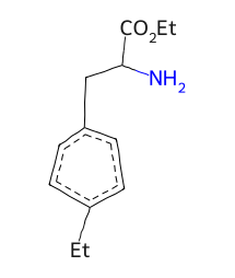 CCOC(=O)C(N)Cc1ccc(CC)cc1